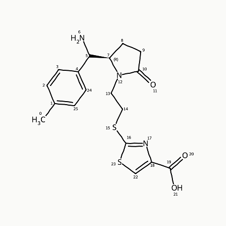 Cc1ccc(C(N)[C@H]2CCC(=O)N2CCSc2nc(C(=O)O)cs2)cc1